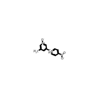 Cc1cc(C)c[n+]([O-])c1.O=[N+]([O-])c1ccncc1